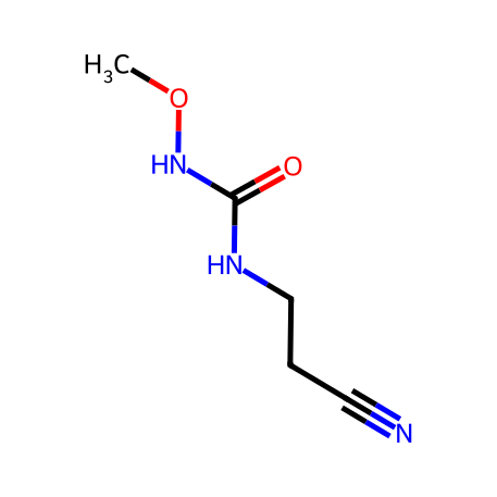 CONC(=O)NCCC#N